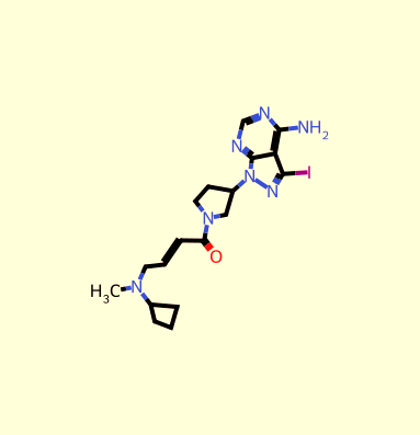 CN(CC=CC(=O)N1CCC(n2nc(I)c3c(N)ncnc32)C1)C1CCC1